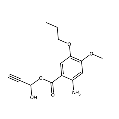 C#CC(O)OC(=O)c1cc(OCCC)c(OC)cc1N